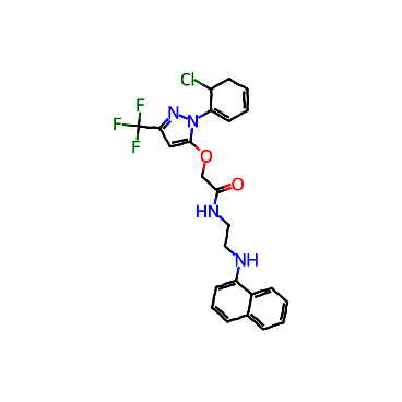 O=C(COc1cc(C(F)(F)F)nn1C1=CC=CCC1Cl)NCCNc1cccc2ccccc12